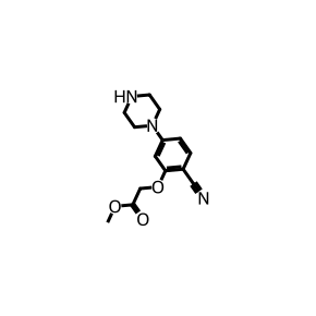 COC(=O)COc1cc(N2CCNCC2)ccc1C#N